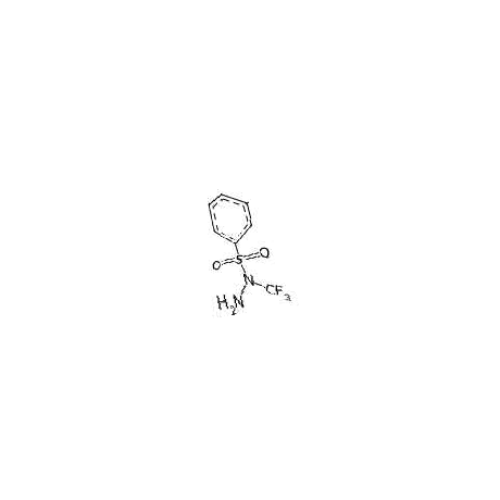 NN(C(F)(F)F)S(=O)(=O)c1ccccc1